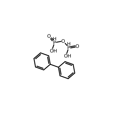 O=[PH](O)O[PH](=O)O.c1ccc(-c2ccccc2)cc1